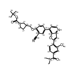 COc1cc(C(=O)N(C)C)ccc1-c1cc2nccc(-c3ccc(OCC4CCN(C(=O)OC(C)(C)C)C4)c(C#N)c3)c2o1